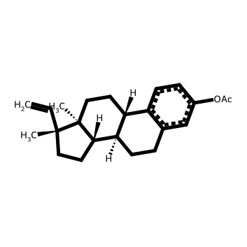 C=C[C@@]1(C)CC[C@H]2[C@@H]3CCc4cc(OC(C)=O)ccc4[C@H]3CC[C@@]21C